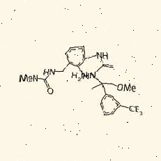 C=C(Nc1cccc(CNC(=O)NC)c1N)NC(C)(COC)c1cccc(C(F)(F)F)c1